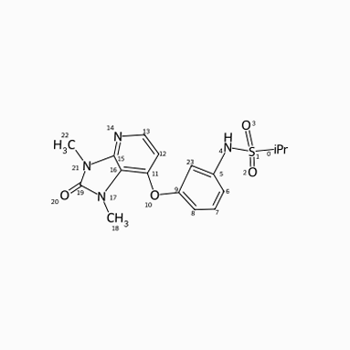 CC(C)S(=O)(=O)Nc1cccc(Oc2ccnc3c2n(C)c(=O)n3C)c1